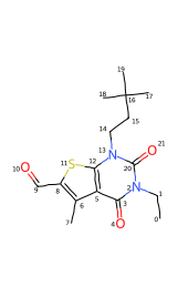 CCn1c(=O)c2c(C)c(C=O)sc2n(CCC(C)(C)C)c1=O